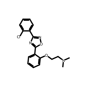 CN(C)CCOc1ccccc1-c1nc(-c2ccccc2Cl)no1